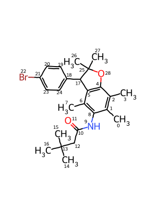 Cc1c(C)c2c(c(C)c1NC(=O)CC(C)(C)C)C(c1ccc(Br)cc1)C(C)(C)O2